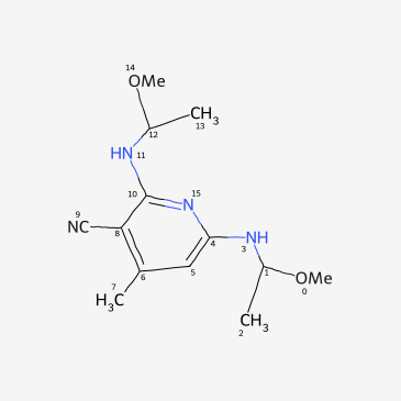 COC(C)Nc1cc(C)c(C#N)c(NC(C)OC)n1